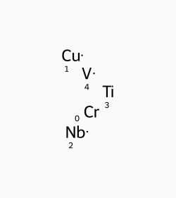 [Cr].[Cu].[Nb].[Ti].[V]